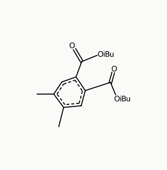 Cc1cc(C(=O)OCC(C)C)c(C(=O)OCC(C)C)cc1C